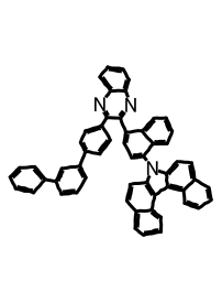 c1ccc(-c2cccc(-c3ccc(-c4nc5ccccc5nc4-c4ccc(-n5c6ccc7ccccc7c6c6c7ccccc7ccc65)c5ccccc45)cc3)c2)cc1